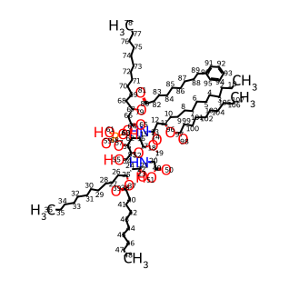 CCCCCCCCCCC[C@H](CC(=O)NC1C(OC[C@@H](NC(=O)C[C@@H](CCCCCCCCCCC)OC(=O)CCCCCCCCC)C(=O)O)OC(CO)C(OP(=O)(O)O)C1OC(=O)C[C@@H](CCCCCCCCCCC)OC(=O)CCCCCCCCc1ccccc1)OC(=O)CCCCCCCCC